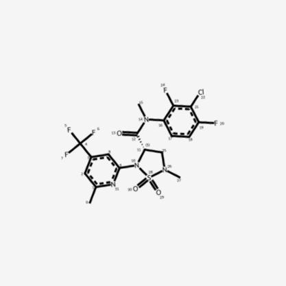 Cc1cc(C(F)(F)F)cc(N2[C@H](C(=O)N(C)c3ccc(F)c(Cl)c3F)CN(C)S2(=O)=O)n1